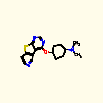 CN(C)[C@H]1CC[C@H](Oc2ncnc3sc4ccncc4c23)CC1